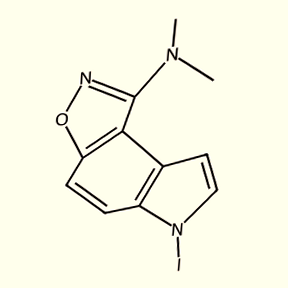 CN(C)c1noc2ccc3c(ccn3I)c12